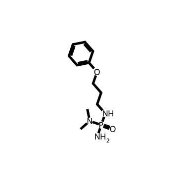 CN(C)P(N)(=O)NCCCOc1ccccc1